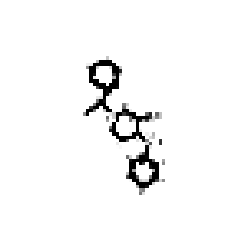 CC(c1ccccc1)N1CCC(Nc2ccccc2)C(O)C1